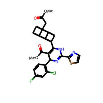 COC(=O)CC12C3C4C1C1C2C3C41C1=C(C(=O)OC)C(c2ccc(F)cc2Cl)N=C(c2nccs2)N1